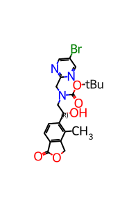 Cc1c([C@@H](O)CN(Cc2ncc(Br)cn2)C(=O)OC(C)(C)C)ccc2c1COC2=O